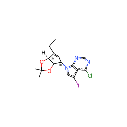 CCC1=C[C@@H](n2cc(I)c3c(Cl)ncnc32)C2OC(C)(C)O[C@@H]12